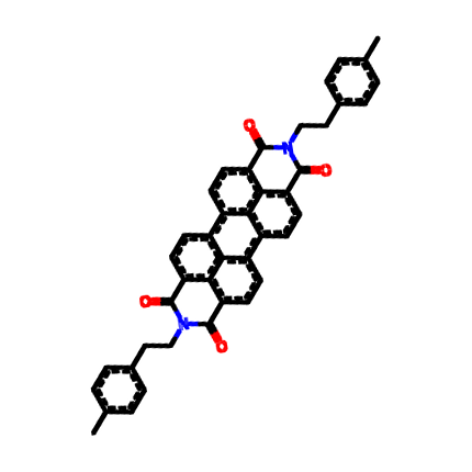 Cc1ccc(CCN2C(=O)c3ccc4c5ccc6c7c(ccc(c8ccc(c3c48)C2=O)c75)C(=O)N(CCc2ccc(C)cc2)C6=O)cc1